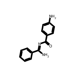 NC(=NC(=O)c1ccc(N)cc1)c1ccccc1